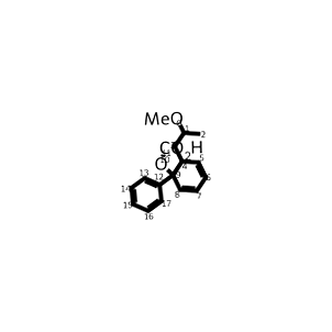 COC(C)CC1C=CC=CC1(OC(=O)O)c1ccccc1